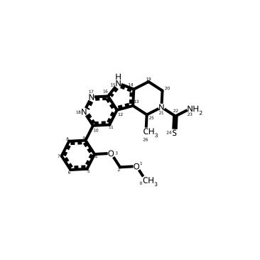 COCOc1ccccc1-c1cc2c3c([nH]c2nn1)CCN(C(N)=S)C3C